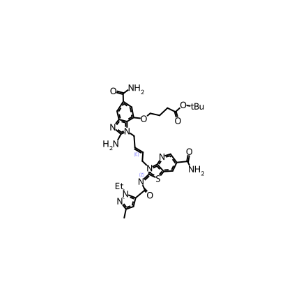 CCn1nc(C)cc1C(=O)/N=c1\sc2cc(C(N)=O)cnc2n1C/C=C/Cn1c(N)nc2cc(C(N)=O)cc(OCCCC(=O)OC(C)(C)C)c21